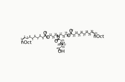 CCCCCCCC/C=C\CCCCCCCC(=O)OCCCN(CCCOC(=O)CCCCCCC/C=C\CCCCCCCC)C(=O)C[N+](C)(C)CCO